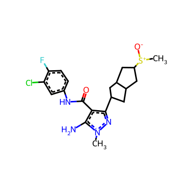 Cn1nc(C2CC3CC([S+](C)[O-])CC3C2)c(C(=O)Nc2ccc(F)c(Cl)c2)c1N